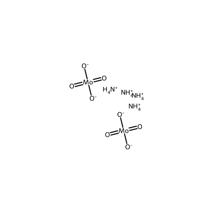 [NH4+].[NH4+].[NH4+].[NH4+].[O]=[Mo](=[O])([O-])[O-].[O]=[Mo](=[O])([O-])[O-]